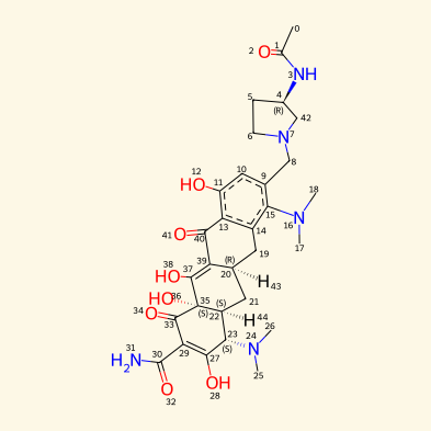 CC(=O)N[C@@H]1CCN(Cc2cc(O)c3c(c2N(C)C)C[C@H]2C[C@H]4[C@H](N(C)C)C(O)=C(C(N)=O)C(=O)[C@@]4(O)C(O)=C2C3=O)C1